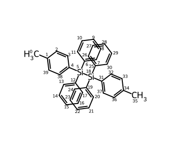 Cc1ccc([Si](c2ccccc2)(c2ccccc2)[Si](c2ccccc2)(c2ccccc2)c2ccc(C)cc2)cc1